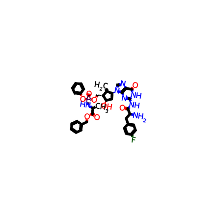 C=C1[C@@H](COP(=O)(NC(C)C(=O)OCc2ccccc2)Oc2ccccc2)[C@H](O)C[C@H]1n1cnc2c(=O)[nH]c(NC(=O)C(N)Cc3ccc(F)cc3)nc21